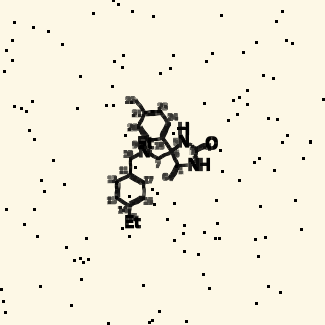 C=C1NC(=O)NC1(CN(CC)Cc1ccc(CC)cc1)c1ccc(C)cc1